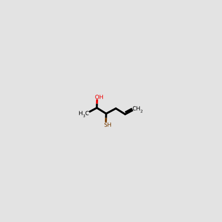 C=CCC(S)C(C)O